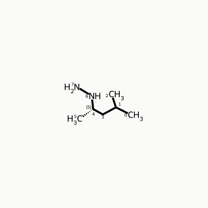 CC(C)C[C@H](C)NN